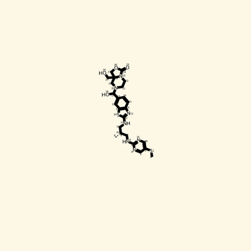 CSc1cnc(NC[C@H](C)CNc2nc3ccc(C(O)N4CCN5C(=O)OCC5(CO)C4)cc3s2)nc1